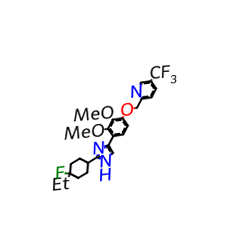 CCC1(F)CCC(c2nc(-c3ccc(OCc4ccc(C(F)(F)F)cn4)c(OC)c3OC)c[nH]2)CC1